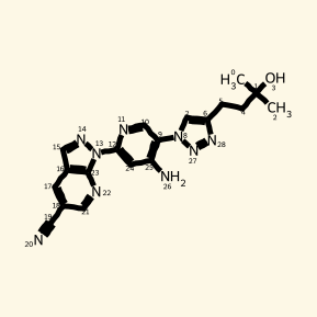 CC(C)(O)CCc1cn(-c2cnc(-n3ncc4cc(C#N)cnc43)cc2N)nn1